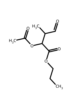 CCCOC(=O)C(OC(C)=O)C(C)C=O